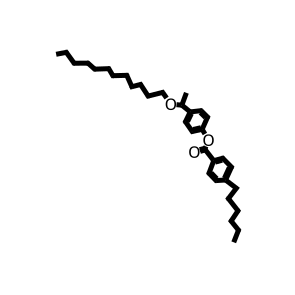 CCCCCCCCCCCCOC(C)c1ccc(OC(=O)c2ccc(CCCCCC)cc2)cc1